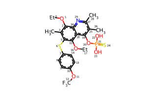 CCOc1c(C)c(Sc2ccc(OC(F)(F)F)cc2)c(OCC)c2c(OP(O)(O)=S)c(C)c(C)nc12